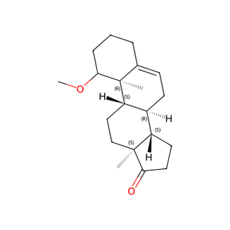 COC1CCCC2=CC[C@H]3[C@@H]4CCC(=O)[C@@]4(C)CC[C@@H]3[C@]21C